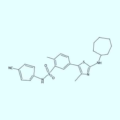 Cc1ccc(-c2sc(NC3CCCCCC3)nc2C)cc1S(=O)(=O)Nc1ccc(C#N)cc1